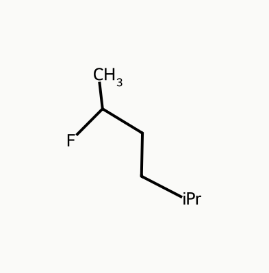 CC(C)CCC(C)F